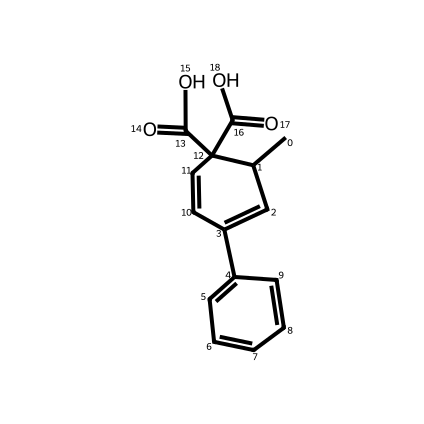 CC1C=C(c2ccccc2)C=CC1(C(=O)O)C(=O)O